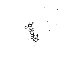 Cc1cc(C)nc(C(=O)N[C@H]2CC[C@@]3(CCN(c4cc(F)c(F)cc4Cl)C3=O)CC2)n1